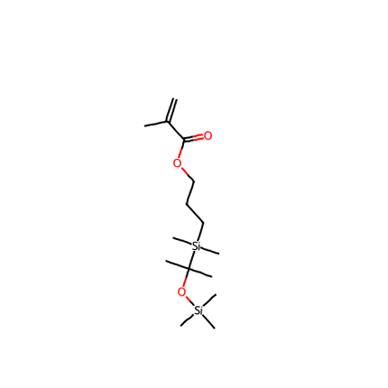 C=C(C)C(=O)OCCC[Si](C)(C)C(C)(C)O[Si](C)(C)C